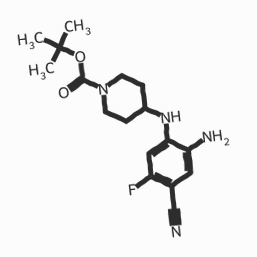 CC(C)(C)OC(=O)N1CCC(Nc2cc(F)c(C#N)cc2N)CC1